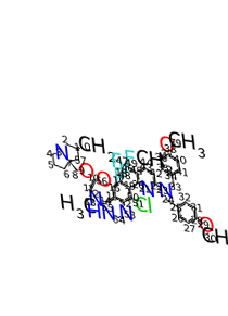 C=C1CN2CCC[C@@]2(COC2=CN(C)C3=c4c(c(F)c(-c5nc(N(Cc6ccc(OC)cc6)Cc6ccc(OC)cc6)cc(C)c5C(F)(F)F)c(Cl)c4=NCN3)O2)C1